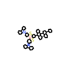 c1ccc(-c2ccc(-c3c4ccccc4c(-c4cc5c6c(c4)Sc4cc(-n7c8ccccc8c8ccccc87)ccc4B6c4ccc(-n6c7ccccc7c7ccccc76)cc4S5)c4ccccc34)c3ccccc23)cc1